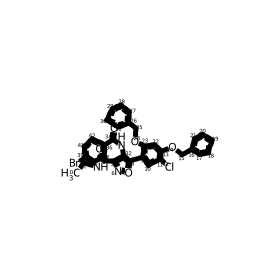 CCNC(=O)c1noc(-c2cc(Cl)c(OCc3ccccc3)cc2OCc2ccccc2)c1NC(=O)c1ccc(Br)cc1